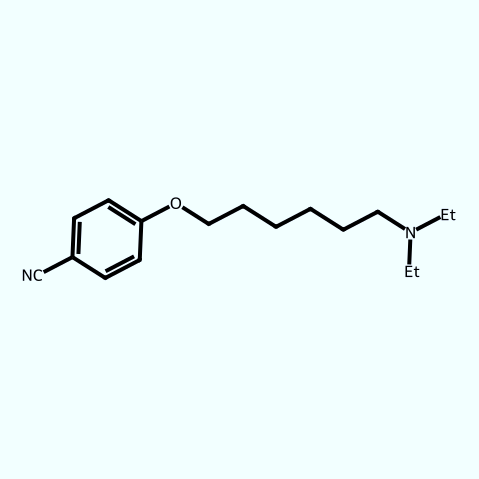 CCN(CC)CCCCCCOc1ccc(C#N)cc1